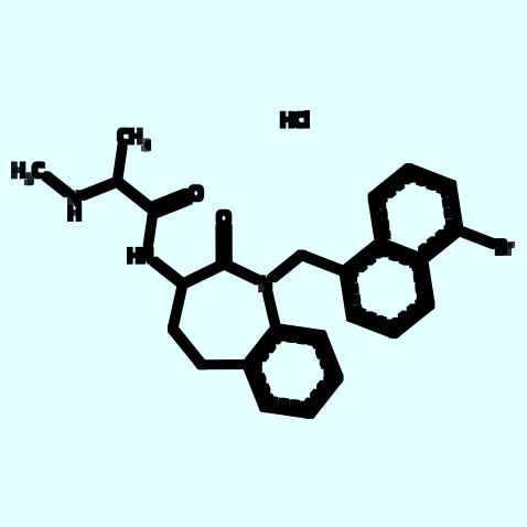 CNC(C)C(=O)NC1CCc2ccccc2N(Cc2cccc3c(Br)cccc23)C1=O.Cl